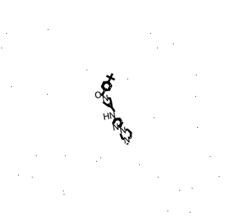 CN1CCCN(c2ccc(NCC3C4CN(C(=O)c5ccc(C(C)(C)C)cc5)CC34)cn2)CC1